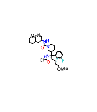 CCC(=O)N[C@](CCCCOC)(c1cccc(F)c1F)C1CCCN(C(=O)NC(CNC)CC2CCCCC2)C1